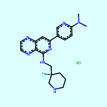 CN(C)c1ccc(-c2cc3nccnc3c(NC[C@]3(F)CCCNC3)n2)cn1.Cl